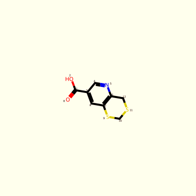 O=C(O)c1cnc2c(c1)SCSC2